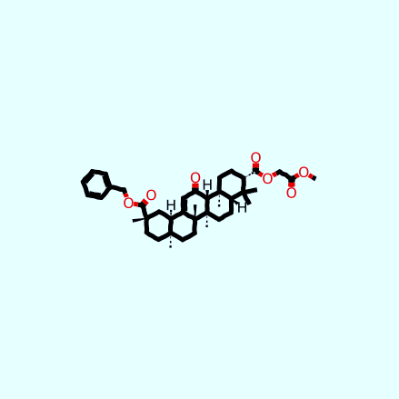 COC(=O)COC(=O)[C@H]1CC[C@]2(C)[C@H]3C(=O)C=C4[C@@H]5C[C@@](C)(C(=O)OCc6ccccc6)CC[C@]5(C)CC[C@@]4(C)[C@]3(C)CC[C@H]2C1(C)C